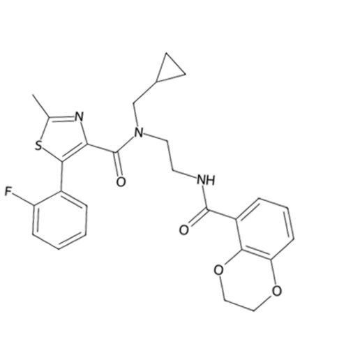 Cc1nc(C(=O)N(CCNC(=O)c2cccc3c2OCCO3)CC2CC2)c(-c2ccccc2F)s1